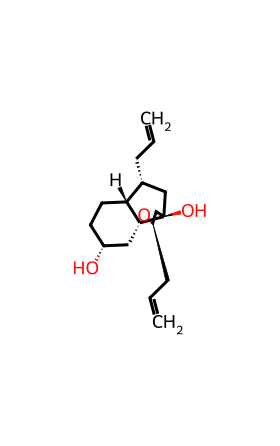 C=CC[C@@H]1C[C@]2(O)C[C@@H](CC=C)[C@H]3CC[C@@H](O)C[C@@]32O1